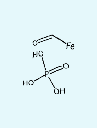 O=P(O)(O)O.O=[CH][Fe]